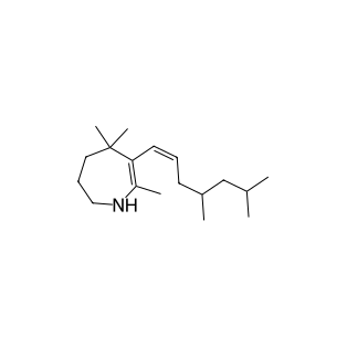 CC1=C(/C=C\CC(C)CC(C)C)C(C)(C)CCCN1